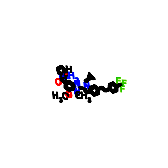 COc1cc(C(=O)N2C[C@H]3CCC2[C@H]3N)cc2nc(-c3cc4ccc(/C=C/c5ccc(C(F)(F)F)cc5)cc4n3CC3CC3)n(C)c12